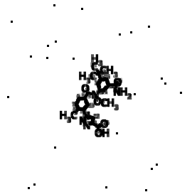 CON(C(=O)c1ccc(C)c(-n2cc(C(=O)O)nn2)c1)c1cc(C(N)=O)cc(C(C)(C)C)c1